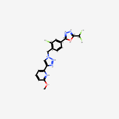 COc1cccc(-c2cn(Cc3ccc(-c4nnc(C(F)F)o4)cc3F)nn2)n1